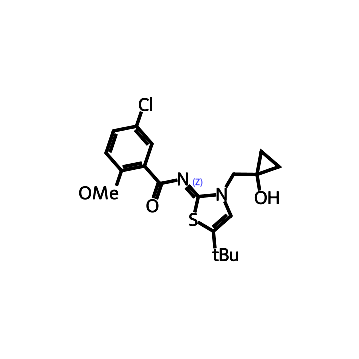 COc1ccc(Cl)cc1C(=O)/N=c1\sc(C(C)(C)C)cn1CC1(O)CC1